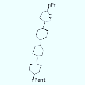 CCCCC[C@H]1CC[C@H](C2CCC([C@H]3CC[C@H]([C@H]4CC[C@H](CCC)CC4)CC3)CC2)CC1